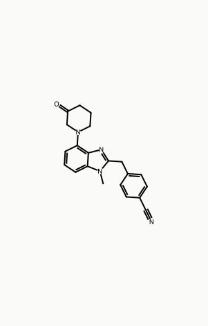 Cn1c(Cc2ccc(C#N)cc2)nc2c(N3CCCC(=O)C3)cccc21